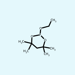 CCOP1OC(C)(C)CC(C)(C)O1